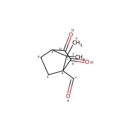 CC1(C)C2CCC1(C=O)C(=O)C2=O